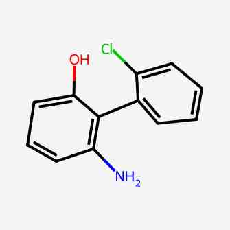 Nc1cccc(O)c1-c1ccccc1Cl